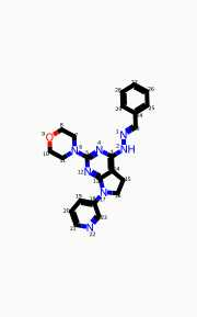 C(=N\Nc1nc(N2CCOCC2)nc2c1CCN2c1cccnc1)/c1ccccc1